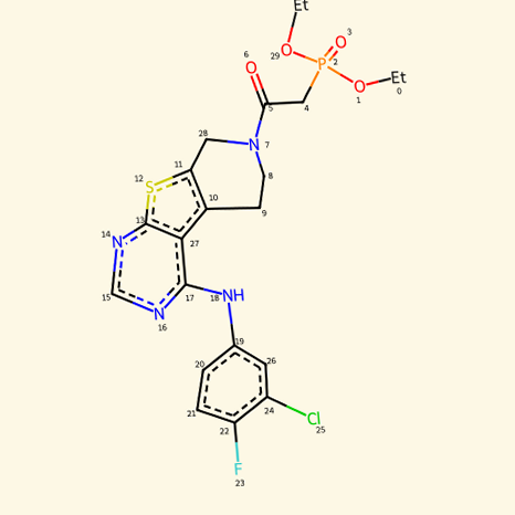 CCOP(=O)(CC(=O)N1CCc2c(sc3ncnc(Nc4ccc(F)c(Cl)c4)c23)C1)OCC